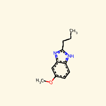 CCCc1nc2cc(OC)ccc2[nH]1